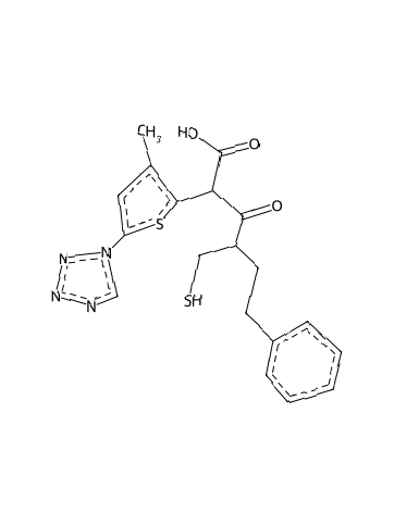 Cc1cc(-n2cnnn2)sc1C(C(=O)O)C(=O)C(CS)CCc1ccccc1